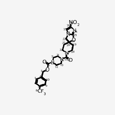 O=C(OCc1ccc(C(F)(F)F)cc1)N1CCN(C(=O)N2CCC3(CC2)Cn2cc([N+](=O)[O-])nc2O3)CC1